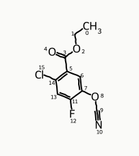 CCOC(=O)c1cc(OC#N)c(F)cc1Cl